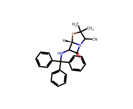 CC1(C)S[C@H]2C(NC(c3ccccc3)(c3ccccc3)c3ccccc3)C(=O)N2C1C#N